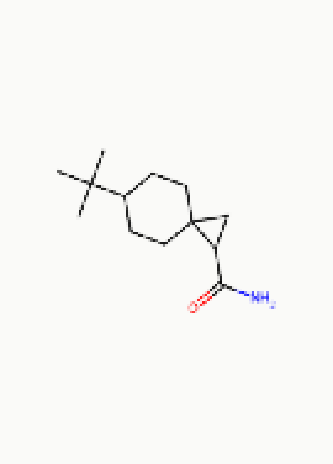 CC(C)(C)C1CCC2(CC1)CC2C(N)=O